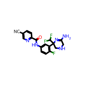 N#Cc1ccc(C(=O)Nc2ccc(F)c(C3(C(F)F)CNCC(N)=N3)c2)nc1